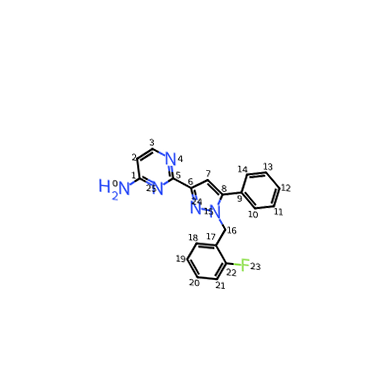 Nc1ccnc(-c2cc(-c3ccccc3)n(Cc3ccccc3F)n2)n1